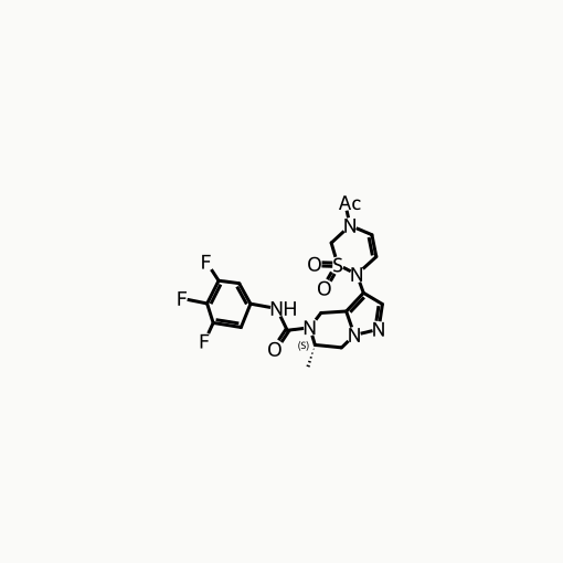 CC(=O)N1C=CN(c2cnn3c2CN(C(=O)Nc2cc(F)c(F)c(F)c2)[C@@H](C)C3)S(=O)(=O)C1